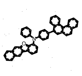 c1ccc(N(c2ccc(-c3cc4ccc5ccccc5c4c4ccccc34)cc2)c2cccc3c2oc2cc4ccccc4cc23)cc1